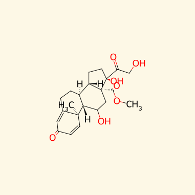 COC(=O)[C@]12CC(O)[C@H]3[C@@H](CCC4=CC(=O)C=C[C@@]43C)[C@@H]1CC[C@]2(O)C(=O)CO